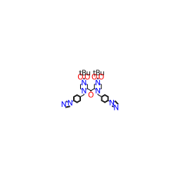 CC(C)(C)OC(=O)N1CCN(Cc2ccc(-n3ccnc3)cc2)C(C(=O)C2CN(C(=O)OC(C)(C)C)CCN2Cc2ccc(-n3ccnc3)cc2)C1